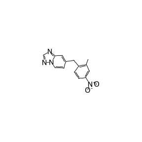 Cc1cc([N+](=O)[O-])ccc1Cc1ccn2ncnc2c1